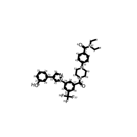 CCN(CC)C(=O)c1ccc(N2CCN(C(=O)c3cc(-n4cc(-c5cccc(O)c5)cn4)cc(C(F)(F)F)c3)CC2)cc1